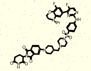 CC(C)N1CCOc2c(F)cc(-c3nc(Nc4ccc(S(=O)(=O)N5CCN(CC6CCN(c7ccc8c(c7)C(=O)N(C7CCC(=O)NC7=O)C8=O)CC6)CC5)cc4)ncc3F)cc21